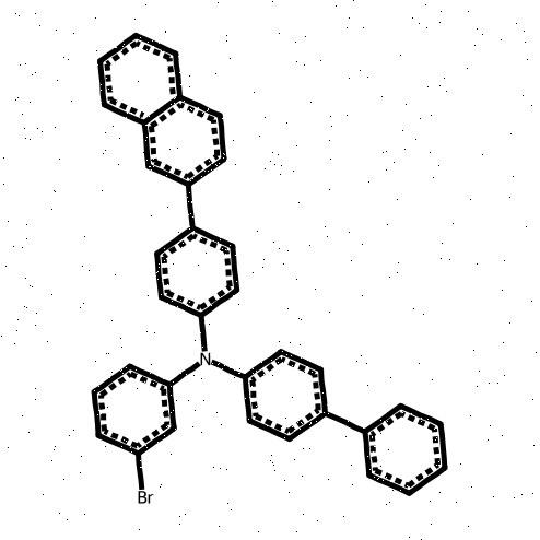 Brc1cccc(N(c2ccc(-c3ccccc3)cc2)c2ccc(-c3ccc4ccccc4c3)cc2)c1